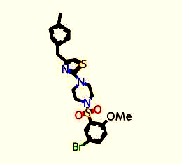 COc1ccc(Br)cc1S(=O)(=O)N1CCN(c2nc(Cc3ccc(C)cc3)cs2)CC1